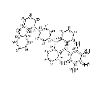 [2H]c1c([2H])c([2H])c(-c2c3ccccc3c(-c3ccc(-c4cccc5oc6ccccc6c45)cc3)c3ccccc23)c([2H])c1[2H]